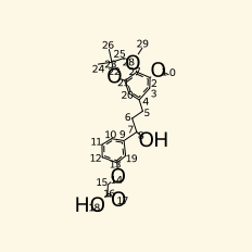 COc1cc(CC[C@@H](O)c2cccc(OCC(=O)O)c2)cc(OC(C)(C)C)c1OC